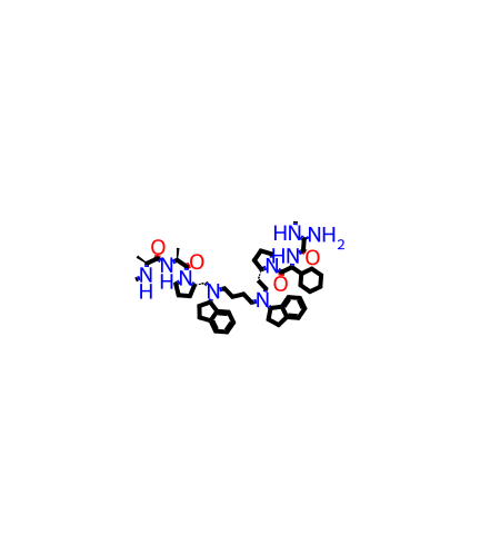 CN[C@@H](C)C(=O)N[C@@H](C)C(=O)N1CCC[C@H]1CN(CCCCN(CC[C@@H]1CCCN1C(=O)C(NC(=O)[C@H](N)NC)C1CCCCC1)C1CCc2ccccc21)C1CCc2ccccc21